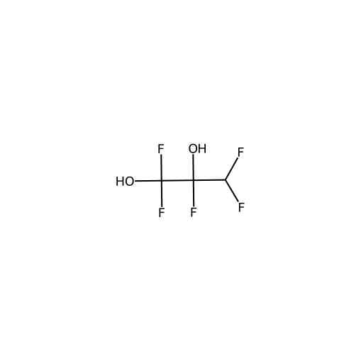 OC(F)(F)C(O)(F)C(F)F